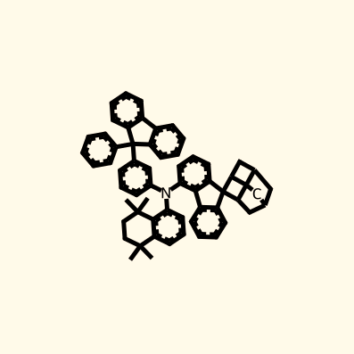 CC1(C)CCC(C)(C)c2c(N(c3cccc(C4(c5ccccc5)c5ccccc5-c5ccccc54)c3)c3cccc4c3-c3ccccc3C43C4CC5CC6CC3C64C5)cccc21